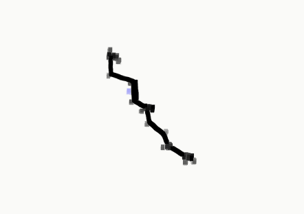 COCCN/C=C/CN